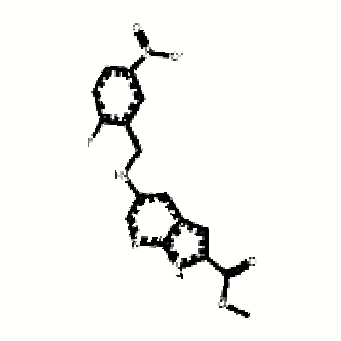 COC(=O)c1cc2cc(NCc3cc([N+](=O)[O-])ccc3F)cnc2[nH]1